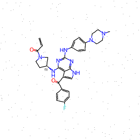 C=CC(=O)N1CC[C@H](Nc2nc(Nc3ccc(N4CCN(C)CC4)cc3)nc3[nH]cc(C(=O)c4ccc(F)cc4)c23)C1